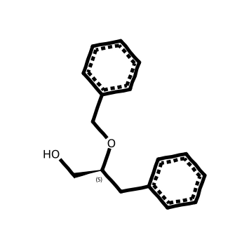 OC[C@H](Cc1ccccc1)OCc1ccccc1